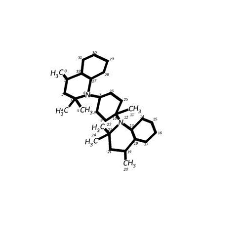 CC1CC(C)(C)N(C2CCC(C)(N3C4CCCCC4C(C)CC3(C)C)CC2)C2CCCCC12